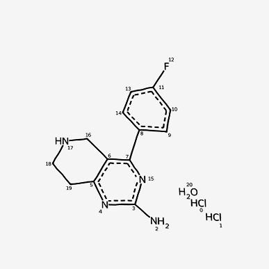 Cl.Cl.Nc1nc2c(c(-c3ccc(F)cc3)n1)CNCC2.O